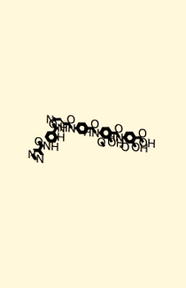 COc1c(NC(=O)c2ccc(NC(=O)c3ccc(NC(=O)[C@H](CC#N)NC(=O)c4ccc(NC(=O)c5cncnc5)cc4)cc3)c(OC)c2O)ccc(C(=O)O)c1O